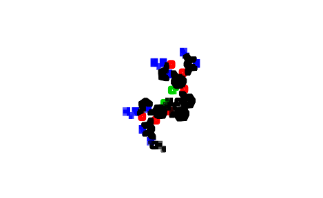 C/N=C/c1cncc(COc2cc(OCc3cccc(-c4cccc(COc5cc(OCc6cncc(C#N)c6)c(CN6CCC[C@H]6C(N)=O)cc5Cl)c4C)c3C)c(Cl)cc2CN2CCC[C@H]2C(N)=O)c1